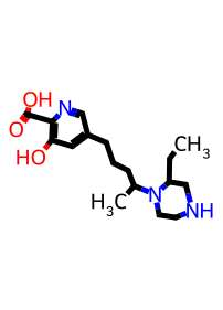 CCC1CNCCN1C(C)CCCc1cnc(C(=O)O)c(O)c1